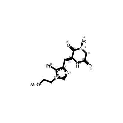 COCCn1cnc(/C=C2\NC(=O)CN(C(C)=O)C2=O)c1C(C)C